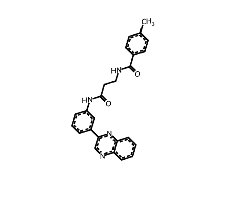 Cc1ccc(C(=O)NCCC(=O)Nc2cccc(-c3cnc4ccccc4n3)c2)cc1